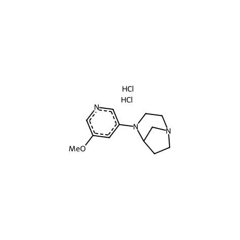 COc1cncc(N2CCN3CCC2C3)c1.Cl.Cl